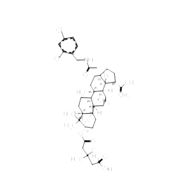 C=C(C)[C@@H]1CC[C@]2(CC(=O)NCc3ccc(Cl)cc3Cl)CC[C@]3(C)[C@H](CC[C@@H]4[C@@]5(C)CC[C@H](OC(=O)CC(C)(C)CC(=O)O)C(C)(C)[C@@H]5CC[C@]43C)[C@@H]12